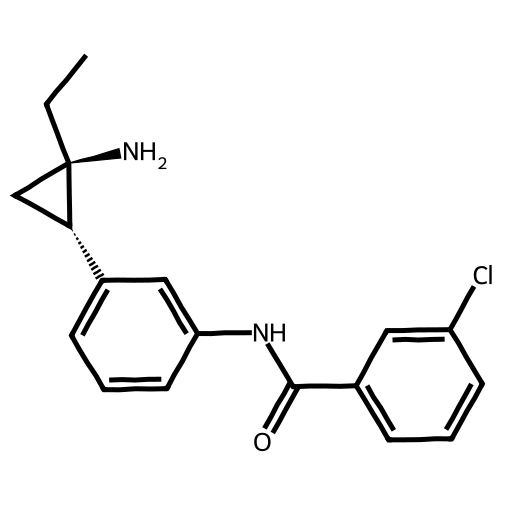 CC[C@@]1(N)C[C@H]1c1cccc(NC(=O)c2cccc(Cl)c2)c1